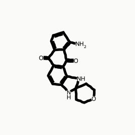 Nc1cccc2c1C(=O)c1c(ccc3c1NC1(CCOCC1)N3)C2=O